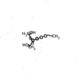 C=C(CO)CCOc1cc(OCCC(=C)CO)cc(-c2ccc(C3=CCC(C4CCC(CCCCC)CC4)CC3)cc2)c1